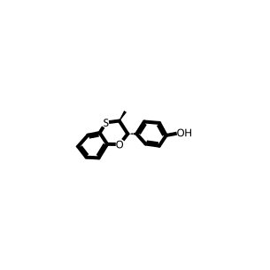 C[C@@H]1Sc2ccccc2O[C@H]1c1ccc(O)cc1